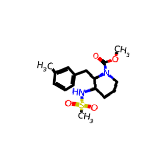 COC(=O)N1CCCC(NS(C)(=O)=O)C1Cc1cccc(C)c1